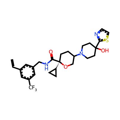 C=Cc1cc(CNC(=O)[C@@]2(C3CC3)CCC(N3CCC(O)(c4nccs4)CC3)CO2)cc(C(F)(F)F)c1